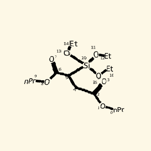 CCCOC(=O)CC(C(=O)OCCC)[Si](OCC)(OCC)OCC